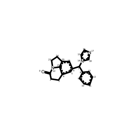 O=C1CCc2cc(C(c3ccccc3)n3ccnc3)cc3c2N1CC3